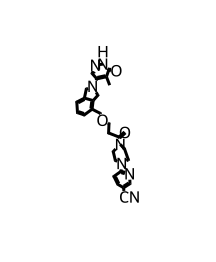 Cc1c(N2Cc3cccc(COCCC(=O)N4CCN(c5ccc(C#N)cn5)CC4)c3C2)cn[nH]c1=O